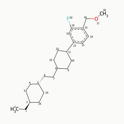 CC[C@H]1CC[C@H](CCC2CCC(c3ccc(COC)c(F)c3)CC2)CC1